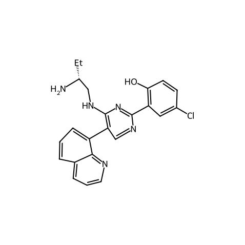 CC[C@@H](N)CNc1nc(-c2cc(Cl)ccc2O)ncc1-c1cccc2cccnc12